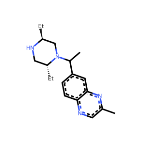 CC[C@H]1CN(C(C)c2ccc3ncc(C)nc3c2)[C@H](CC)CN1